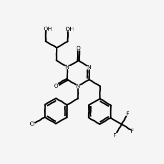 O=c1nc(Cc2cccc(C(F)(F)F)c2)n(Cc2ccc(Cl)cc2)c(=O)n1CC(CO)CO